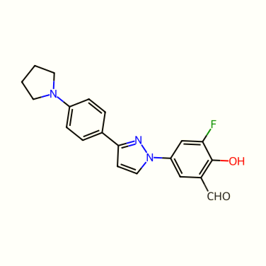 O=Cc1cc(-n2ccc(-c3ccc(N4CCCC4)cc3)n2)cc(F)c1O